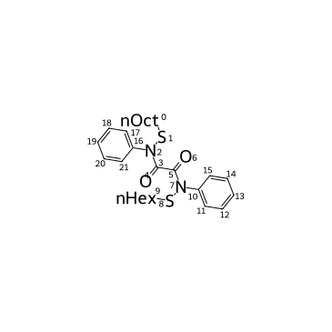 CCCCCCCCSN(C(=O)C(=O)N(SCCCCCC)c1ccccc1)c1ccccc1